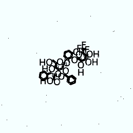 CC1CCC[C@@H](O[C@@H]2OC(CO)[C@H](O)C(O[C@@H](CC3CCCCC3)C(=O)O)C2OC(=O)c2ccccc2)C1O[C@@H]1OC(C(F)(F)F)[C@@H](O)C(O)C1O